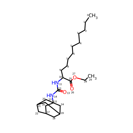 CCCCCCCCCCC(NC(=O)NC12CC3CC(CC(C3)C1)C2)C(=O)OCC